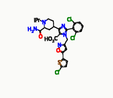 CC(C)N1CCC(c2nc(-c3c(Cl)cccc3Cl)n(Cc3cc(-c4ccc(Cl)s4)on3)c2C(=O)O)CC1C(N)=O